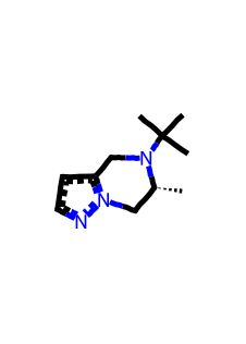 C[C@@H]1Cn2nccc2CN1C(C)(C)C